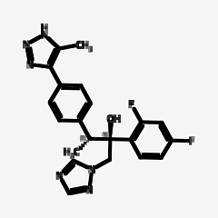 Cc1[nH]nnc1-c1ccc([C@@H](C)[C@@](O)(Cn2cncn2)c2ccc(F)cc2F)cc1